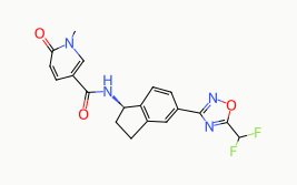 Cn1cc(C(=O)N[C@@H]2CCc3cc(-c4noc(C(F)F)n4)ccc32)ccc1=O